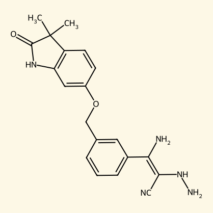 CC1(C)C(=O)Nc2cc(OCc3cccc(/C(N)=C(\C#N)NN)c3)ccc21